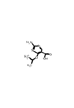 CC(C)Oc1nc(N)ncc1C(=O)O